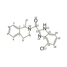 CC1c2ccccc2CCN1C(=O)c1nc2c(Cl)cccc2[nH]1